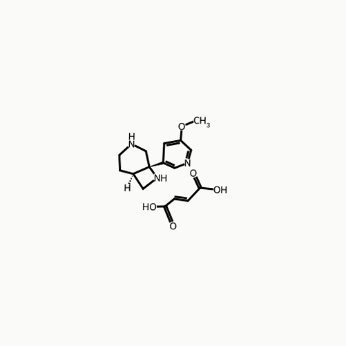 COc1cncc([C@]23CNCC[C@@H]2CN3)c1.O=C(O)/C=C/C(=O)O